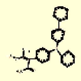 CO/C(C)=C(\C(C)=O)c1ccc(N(c2ccccc2)c2ccc(-c3ccccc3)cc2)cc1